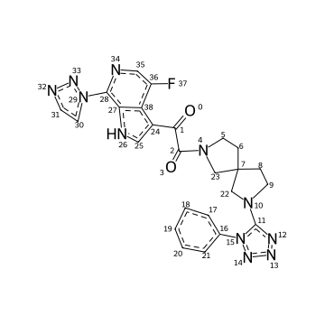 O=C(C(=O)N1CCC2(CCN(c3nnnn3-c3ccccc3)C2)C1)c1c[nH]c2c(-n3ccnn3)ncc(F)c12